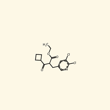 CCOC(=O)C(Cc1cnc(Cl)c(Cl)c1)C(=O)C1CCC1